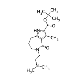 Cc1c(C(=O)OC(C)(C)C)[nH]c2c1C(=O)N(CCN(C)C)CCC2